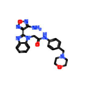 Nc1nonc1-c1nc2ccccc2n1CC(=O)Nc1ccc(CN2CCOCC2)cc1